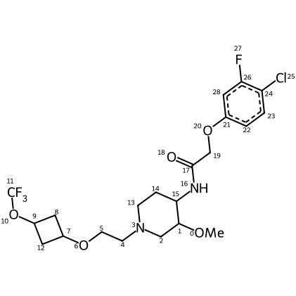 COC1CN(CCOC2CC(OC(F)(F)F)C2)CCC1NC(=O)COc1ccc(Cl)c(F)c1